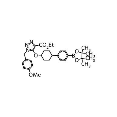 CCOC(=O)c1nnn(Cc2ccc(OC)cc2)c1O[C@H]1CC[C@H](c2ccc(B3OC(C)(C)C(C)(C)O3)cc2)CC1